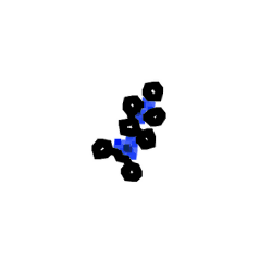 c1ccc(-c2cc(-c3ccccc3)nc(-n3c4ccccc4c4c3ccc3c5cccc6c5n(c34)-c3ccccc3N6c3ccccc3)n2)cc1